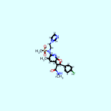 CNC(=O)c1c(-c2ccc(F)cc2)oc2nc(N(CCn3ccnc3)S(C)(=O)=O)c(C)cc12